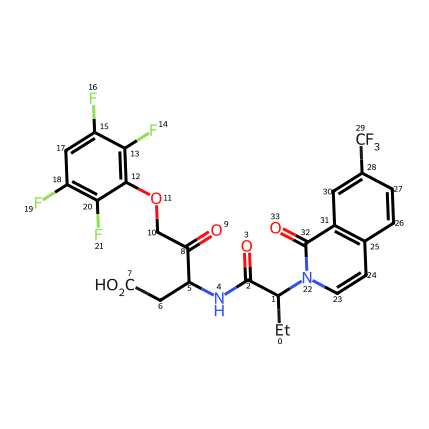 CCC(C(=O)NC(CC(=O)O)C(=O)COc1c(F)c(F)cc(F)c1F)n1ccc2ccc(C(F)(F)F)cc2c1=O